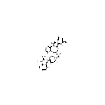 N[C@@H]1c2cccnc2[C@@H](C2CC(n3c(=O)[nH]c4ncccc43)CCN2C(=O)O)CC[C@H]1c1cc(F)cc(F)c1